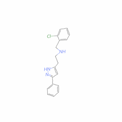 Clc1ccccc1CNCCc1cc(-c2ccccc2)n[nH]1